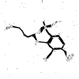 COCCCOc1c(S(C)(=O)=O)ccc(C(=O)O)c1Cl